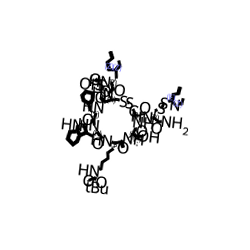 C=C/C=C\C(=C/C)C[C@@H](NS(C)(=O)=O)C(=O)N[C@H]1CSSC[C@@H](C(=O)N[C@@H](CSSC(=C/C=C)/N=C\C)C(N)=O)NC(=O)[C@H]([C@@H](C)O)NC(=O)[C@H](CCCCCNC(=O)OC(C)(C)C)NC(=O)[C@@H](Cc2c[nH]c3ccccc23)NC(=O)[C@H](Cc2ccc(O)cc2)NC1=O